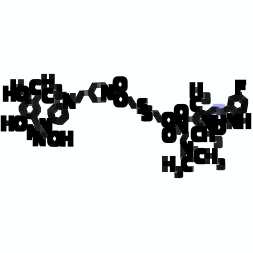 CCN(CC)CCN(C(=O)OCCSSCCOC(=O)N1CCC(CCn2ccc3cc(-n4c(O)nnc4-c4cc(C(C)C)c(O)cc4O)ccc32)CC1)C(=O)c1c(C)[nH]c(/C=C2\C(=O)Nc3ccc(F)cc32)c1C